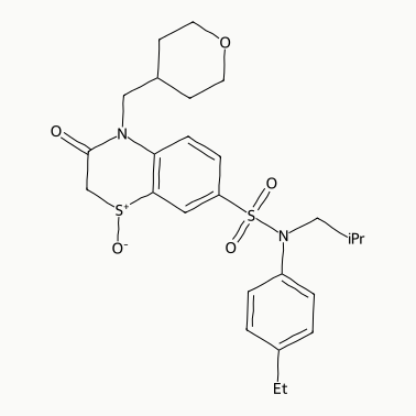 CCc1ccc(N(CC(C)C)S(=O)(=O)c2ccc3c(c2)[S+]([O-])CC(=O)N3CC2CCOCC2)cc1